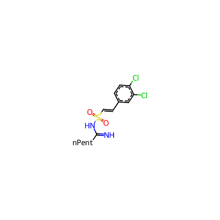 CCCCCC(=N)NS(=O)(=O)C=Cc1ccc(Cl)c(Cl)c1